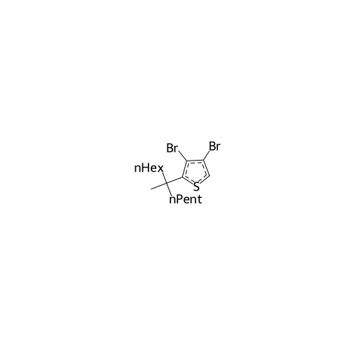 CCCCCCC(C)(CCCCC)c1scc(Br)c1Br